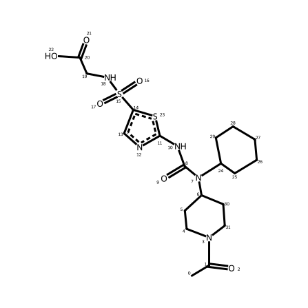 CC(=O)N1CCC(N(C(=O)Nc2ncc(S(=O)(=O)NCC(=O)O)s2)C2CCCCC2)CC1